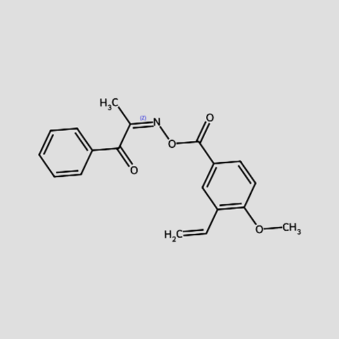 C=Cc1cc(C(=O)O/N=C(/C)C(=O)c2ccccc2)ccc1OC